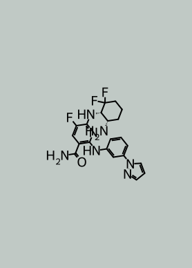 NC(=O)c1cc(F)c(N[C@H]2[C@@H](N)CCCC2(F)F)nc1Nc1cccc(-n2cccn2)c1